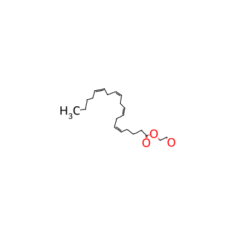 CCCC/C=C\C/C=C\C/C=C\C/C=C\CCCC(=O)OCC=O